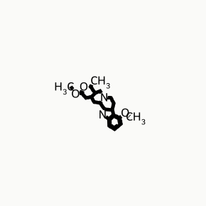 CCC1CN2CCC3C(=Nc4cccc(OC)c43)C2CC1CC(=O)OC